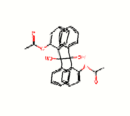 CC(=O)Oc1ccccc1C(O)(c1ccccc1)C(O)(c1ccccc1)c1ccccc1OC(C)=O